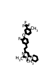 C=C1N=C(CCc2ccc(Oc3ccc(C)c(C(F)(F)F)c3)c(F)c2)C=C(N2CCCCC2)N1C